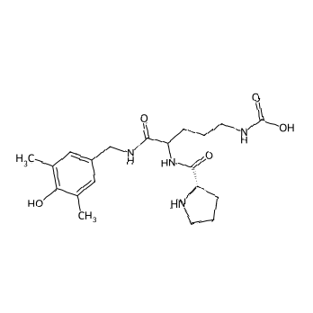 Cc1cc(CNC(=O)C(CCCNC(=O)O)NC(=O)[C@@H]2CCCN2)cc(C)c1O